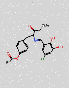 COCC(=O)C(Cc1ccc(OC(=O)C(C)C)cc1)N=Cc1cc(Cl)cc(O)c1O